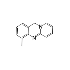 Cc1cccc2c1N=C1C=CC=CN1C2